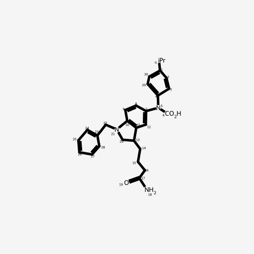 CC(C)c1ccc(N(C(=O)O)c2ccc3c(c2)C(CCCC(N)=O)CN3Cc2ccccc2)cc1